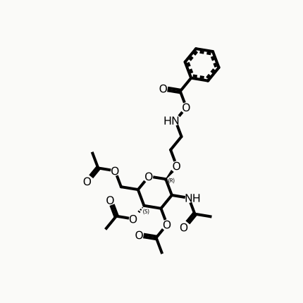 CC(=O)NC1C(OC(C)=O)[C@H](OC(C)=O)C(COC(C)=O)O[C@H]1OCCNOC(=O)c1ccccc1